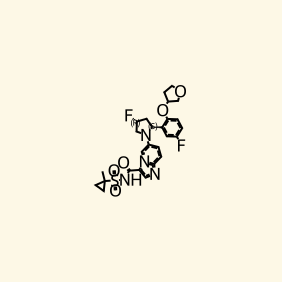 CC1(S(=O)(=O)NC(=O)c2cnc3ccc(N4C[C@H](F)C[C@H]4c4cc(F)ccc4OC4CCOC4)cn23)CC1